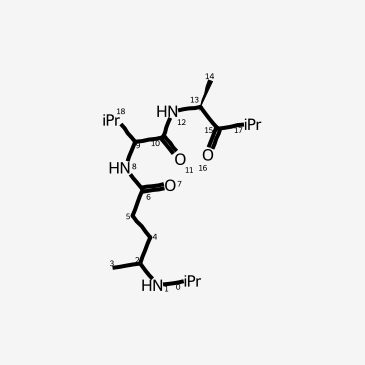 CC(C)NC(C)CCC(=O)NC(C(=O)N[C@@H](C)C(=O)C(C)C)C(C)C